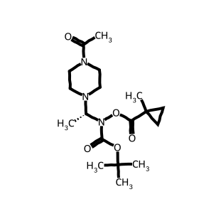 CC(=O)N1CCN([C@@H](C)N(OC(=O)C2(C)CC2)C(=O)OC(C)(C)C)CC1